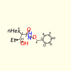 CCCCCC[C@@H](C(=O)NOCc1ccccc1)[C@@H](O)CC